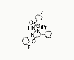 Cc1ccc(S(=O)(=O)Nc2nc(Oc3ccccc3F)cc(-c3ccccc3C(C)C)n2)cc1